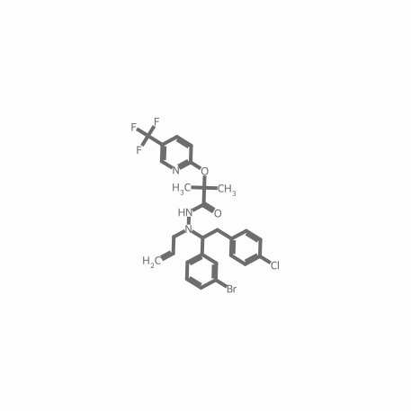 C=CCN(NC(=O)C(C)(C)Oc1ccc(C(F)(F)F)cn1)C(Cc1ccc(Cl)cc1)c1cccc(Br)c1